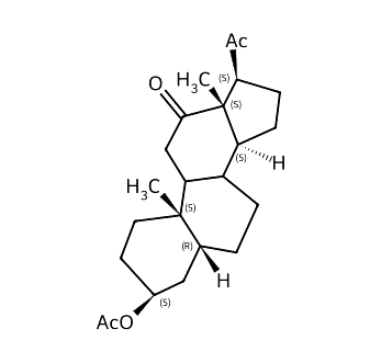 CC(=O)O[C@H]1CC[C@]2(C)C3CC(=O)[C@]4(C)[C@@H](C(C)=O)CC[C@H]4C3CC[C@@H]2C1